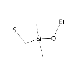 CCO[Si](C)(C)C[S]